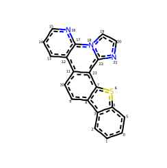 c1ccc2c(c1)sc1c2ccc2c3cccnc3n3ccnc3c21